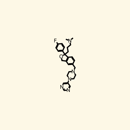 CN(C)CCCC1(c2ccc(F)cc2)OCc2cc(CN3CCN(c4cncnc4)CC3)ccc21